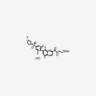 CNCCNC(=O)c1ccc2c(C)cc(-c3c(F)cc(S(=O)(=O)N4CC[C@H](F)C4)cc3F)c(F)c2n1.Cl